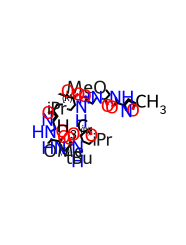 COCC(NC(=O)c1cc(C)on1)C(=O)NCC(=O)NC(CC(C)C)C(=O)[C@@]1(CCc2cc(C(=O)NC(COC)C(=O)N[C@H](C(=O)NC(CC(C)C)C(=O)[C@@]3(C)CO3)C(C)(C)C)no2)CO1